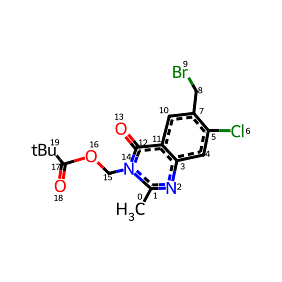 Cc1nc2cc(Cl)c(CBr)cc2c(=O)n1COC(=O)C(C)(C)C